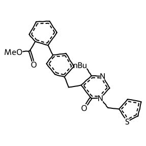 CCCCc1ncn(Cc2cccs2)c(=O)c1Cc1ccc(-c2ccccc2C(=O)OC)cc1